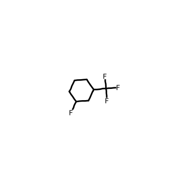 FC1CCC[C](C(F)(F)F)C1